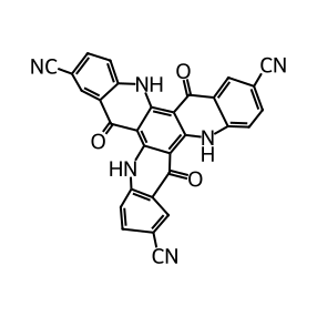 N#Cc1ccc2[nH]c3c4c(=O)c5cc(C#N)ccc5[nH]c4c4c(=O)c5cc(C#N)ccc5[nH]c4c3c(=O)c2c1